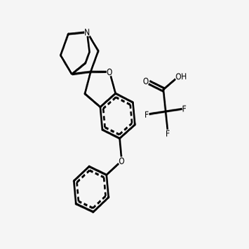 O=C(O)C(F)(F)F.c1ccc(Oc2ccc3c(c2)CC2(CN4CCC2CC4)O3)cc1